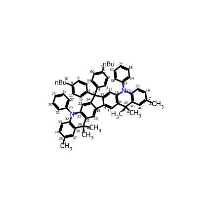 CCCCc1ccc(C2(c3ccc(CCCC)cc3)c3cc4c(cc3-c3cc5c(cc32)N(c2ccccc2)c2ccc(C)cc2C5(C)C)C(C)(C)c2cc(C)ccc2N4c2ccccc2)cc1